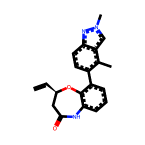 C=C[C@@H]1CC(=O)Nc2cccc(-c3ccc4nn(C)cc4c3C)c2O1